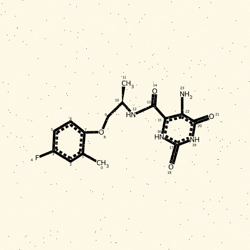 Cc1cc(F)ccc1OC[C@@H](C)NC(=O)c1[nH]c(=O)[nH]c(=O)c1N